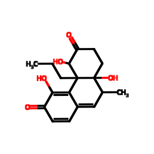 CCCC12C3=C(O)C(=O)C=CC3=CC(C)C1(O)CCC(=O)C2O